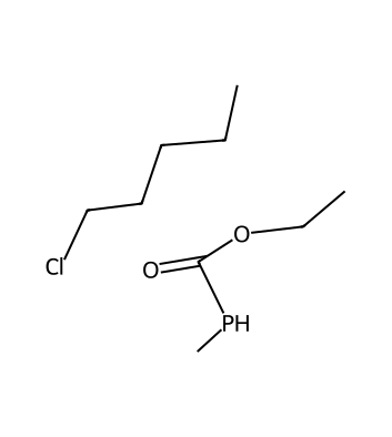 CCCCCCl.CCOC(=O)PC